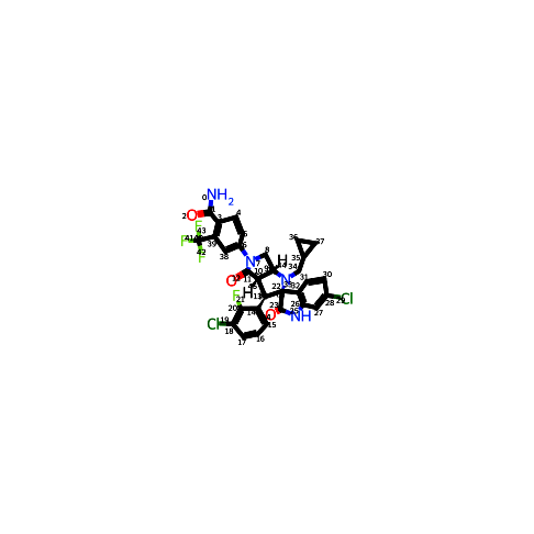 NC(=O)c1ccc(N2C[C@H]3[C@@H](C2=O)[C@H](c2cccc(Cl)c2F)[C@]2(C(=O)Nc4cc(Cl)ccc42)N3CC2CC2)cc1C(F)(F)F